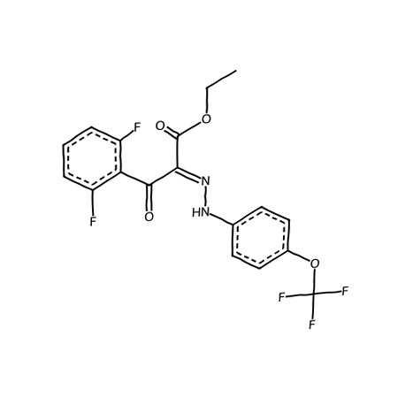 CCOC(=O)/C(=N/Nc1ccc(OC(F)(F)F)cc1)C(=O)c1c(F)cccc1F